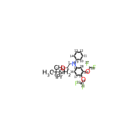 CC(C)C(C)(C)[SiH2]OCCN(c1ccccc1)c1ccc(OC(F)F)c(OC(F)F)c1